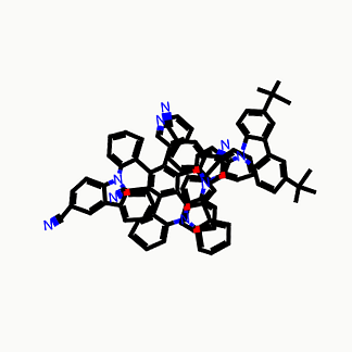 CC(C)(C)c1ccc2c(c1)c1cc(C(C)(C)C)ccc1n2-c1ccc(-c2c(-c3cccnc3)c(-c3ccccc3-n3c4ccccc4c4cc(C#N)ccc43)c(C#N)c(-c3ccccc3-n3c4ccccc4c4cc(C#N)ccc43)c2-c2ccccc2-n2c3ccccc3c3cc(C#N)ccc32)cc1